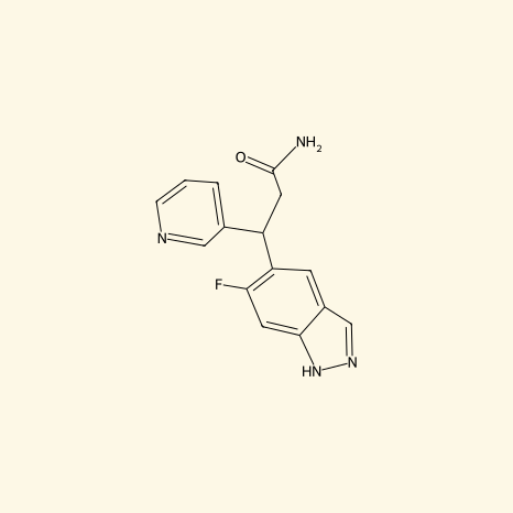 NC(=O)CC(c1cccnc1)c1cc2cn[nH]c2cc1F